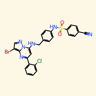 N#Cc1ccc(S(=O)(=O)Nc2ccc(CNc3cc(-c4ccccc4Cl)nc4c(Br)cnn34)cc2)cc1